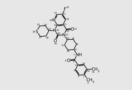 Cc1ccc(C(=O)NC2CCC(n3c(=O)c4cc(F)cnc4n(C4CCSCC4)c3=O)CC2)cc1C